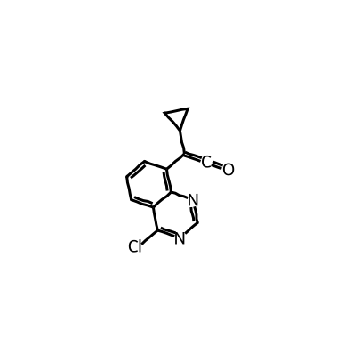 O=C=C(c1cccc2c(Cl)ncnc12)C1CC1